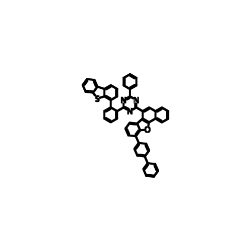 c1ccc(-c2ccc(-c3cccc4c3oc3c5ccccc5cc(-c5nc(-c6ccccc6)nc(-c6ccccc6-c6cccc7c6sc6ccccc67)n5)c43)cc2)cc1